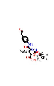 CC(C)(C)OC(=O)NC(CCC(=O)O)C(=O)Nc1ccc(CC=O)cc1.[NaH]